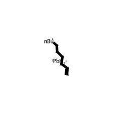 C=CCCCCCCCC.[PbH2]